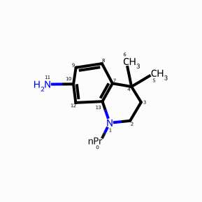 CCCN1CCC(C)(C)c2ccc(N)cc21